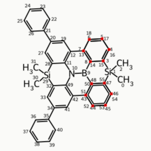 C[Si]1(C)c2ccccc2B(N2c3c(-c4ccccc4)cc(-c4ccccc4)cc3[Si](C)(C)c3cc(-c4ccccc4)cc(-c4ccccc4)c32)c2ccccc21